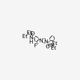 CCC(CC)C(=O)Nc1ccc(N2CCN(C(C(=O)N(CC)CC)c3ccccc3)CC2)c(CF)c1